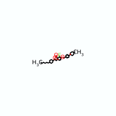 CCCCCCC1CCC(c2cc3ccc(OCc4ccc(C5CCC(C)CC5)cc4)c(F)c3c(=O)o2)CC1